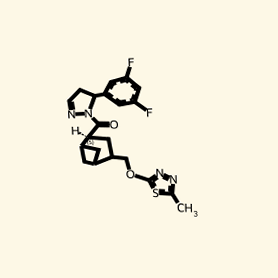 Cc1nnc(OCC2C[C@H](C(=O)N3N=CCC3c3cc(F)cc(F)c3)C3CC2C3)s1